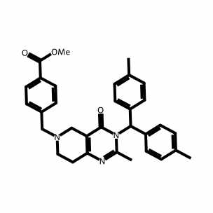 COC(=O)c1ccc(CN2CCc3nc(C)n(C(c4ccc(C)cc4)c4ccc(C)cc4)c(=O)c3C2)cc1